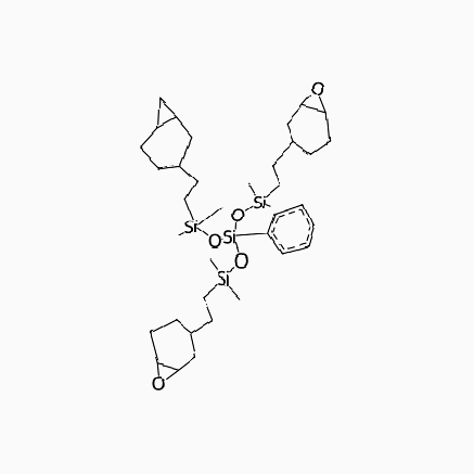 C[Si](C)(CCC1CCC2CC2C1)O[Si](O[Si](C)(C)CCC1CCC2OC2C1)(O[Si](C)(C)CCC1CCC2OC2C1)c1ccccc1